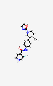 CC1=C(c2ccc(NC(=O)c3ccncc3F)cc2)CN(c2ncco2)CC1